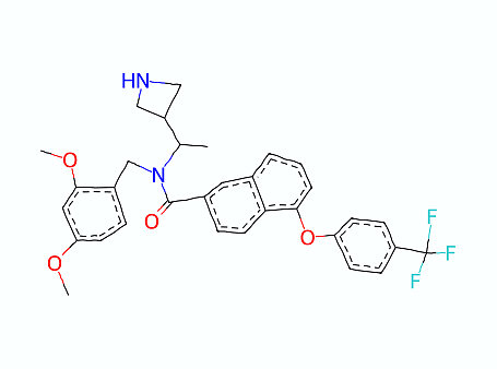 COc1ccc(CN(C(=O)c2ccc3c(Oc4ccc(C(F)(F)F)cc4)cccc3c2)C(C)C2CNC2)c(OC)c1